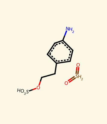 Nc1ccc(CCOS(=O)(=O)O)cc1.O=[SH2]=O